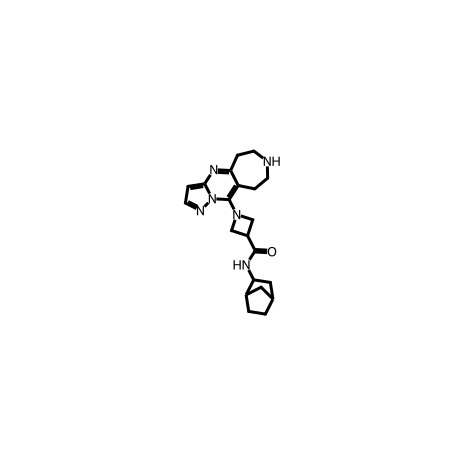 O=C(NC1CC2CCC1C2)C1CN(c2c3c(nc4ccnn24)CCNCC3)C1